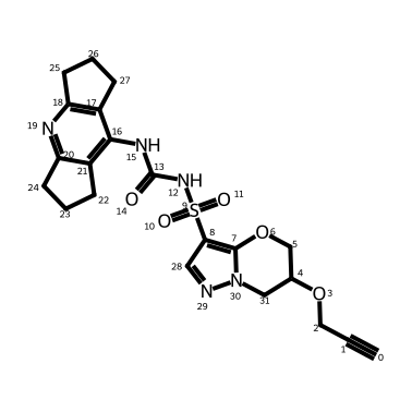 C#CCOC1COc2c(S(=O)(=O)NC(=O)Nc3c4c(nc5c3CCC5)CCC4)cnn2C1